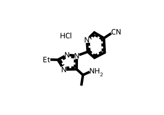 CCc1nc(C(C)N)n(-c2ccc(C#N)cn2)n1.Cl